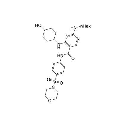 CCCCCCNc1ncc(C(=O)Nc2ccc(S(=O)(=O)N3CCOCC3)cc2)c(NC2CCC(O)CC2)n1